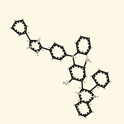 Cc1cc(N(c2ccccc2)c2ccc(-c3nnc(-c4ccccc4)o3)cc2)c(C)cc1-c1nc2ccccc2nc1-c1ccccc1